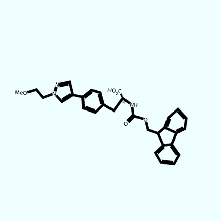 COCCn1cc(-c2ccc(C[C@H](NC(=O)OCC3c4ccccc4-c4ccccc43)C(=O)O)cc2)cn1